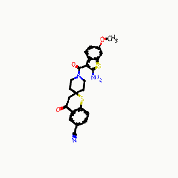 COc1ccc2c(C(=O)N3CCC4(CC3)CC(=O)c3cc(C#N)ccc3S4)c(N)sc2c1